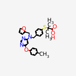 Cc1ccc(Oc2cc(N(Cc3ccc(SC(C)(C)C(=O)O)cc3)Cc3ccco3)ncn2)cc1